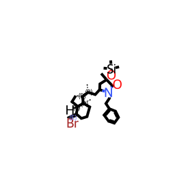 C[C@H](CC1CC(C)(O[Si](C)(C)C)C(=O)N1CCc1ccccc1)[C@H]1CC[C@H]2/C(=C/Br)CCC[C@]12C